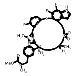 COC(=O)[C@H](C)Cc1cccc([C@@]2(C)CCCC(C)(C)CS(=O)(=O)CCc3c(c(F)c(F)c4[nH]ccc34)Sc3ccc(F)c(c3)-c3nc2nn3C)c1